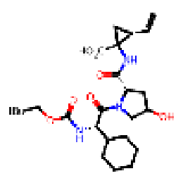 C=C[C@@H]1C[C@]1(NC(=O)[C@@H]1CC(O)CN1C(=O)[C@@H](NC(=O)OCC(C)(C)C)C1CCCCC1)C(=O)O